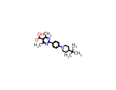 Cc1nc(-c2ccc(N3CCC(C(C)(C)C)CC3)cc2)nc(C)c1C(=O)O